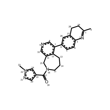 CC1=Nc2ccc(-c3cncc4c3CCCN(C(=O)c3cnn(C)c3)C4)cc2CC1